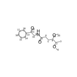 COC(C)C(CCC(=O)NCC(=O)c1ccccc1)OC